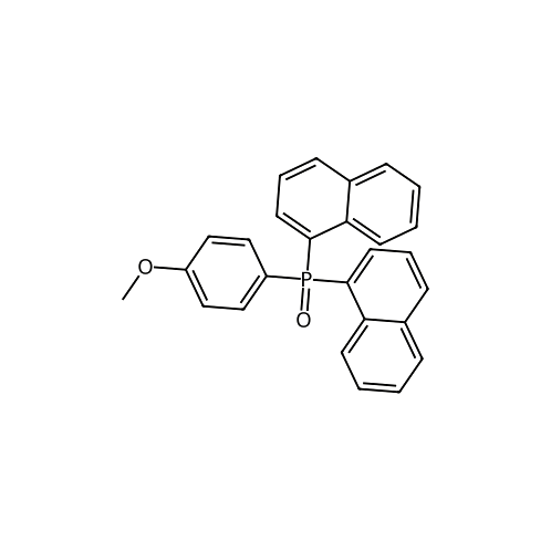 COc1ccc(P(=O)(c2cccc3ccccc23)c2cccc3ccccc23)cc1